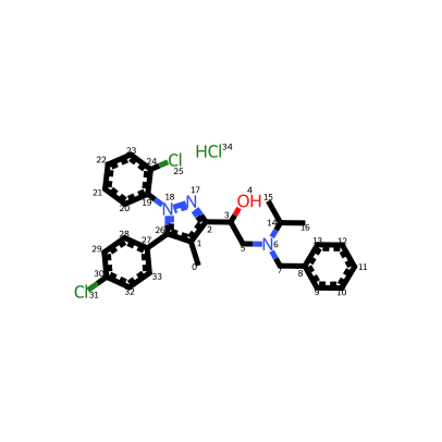 Cc1c(C(O)CN(Cc2ccccc2)C(C)C)nn(-c2ccccc2Cl)c1-c1ccc(Cl)cc1.Cl